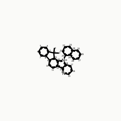 CC1(C)c2ccccc2-c2ccc3c4ncccc4n(-c4cccc5ccccc45)c3c21